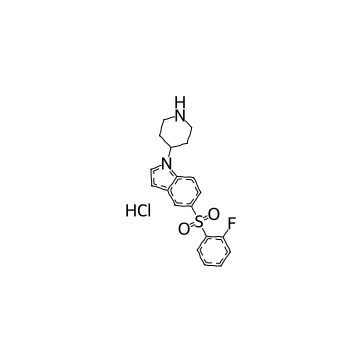 Cl.O=S(=O)(c1ccc2c(ccn2C2CCNCC2)c1)c1ccccc1F